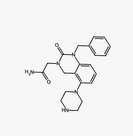 NC(=O)CN1Cc2c(N3CCNCC3)cccc2N(Cc2ccccc2)C1=O